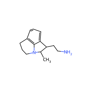 CC1C(CCN)c2cccc3c2N1CCC3